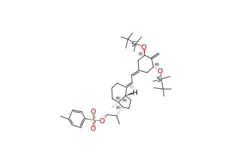 C=C1[C@H](O[Si](C)(C)C(C)(C)C)CC(=C/C=C2\CCC[C@]3(C)[C@@H](C(C)COS(=O)(=O)c4ccc(C)cc4)CC[C@@H]23)C[C@H]1O[Si](C)(C)C(C)(C)C